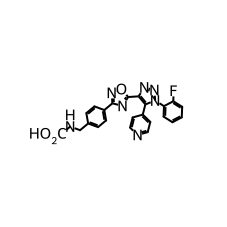 O=C(O)NCc1ccc(-c2noc(-c3nnn(-c4ccccc4F)c3-c3ccncc3)n2)cc1